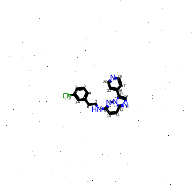 Clc1cccc(CCNc2ccc3ncc(-c4ccncc4)n3n2)c1